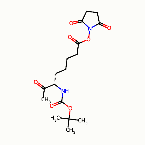 CC(=O)[C@H](CCCCC(=O)ON1C(=O)CCC1=O)NC(=O)OC(C)(C)C